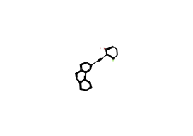 FC1=C(C#Cc2ccc3ccc4ccccc4c3c2)C(Br)=CCC1